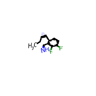 CC/C=C\c1ccc(F)c(F)c1C=N